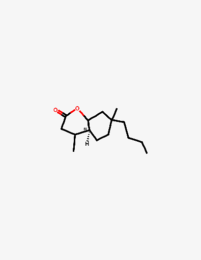 CCCCC1(C)CC[C@H]2C(C)CC(=O)OC2C1